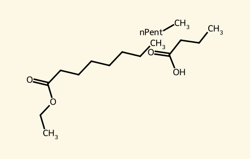 CCCC(=O)O.CCCCCC.CCCCCCCC(=O)OCC